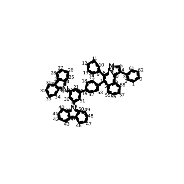 c1ccc(-c2cnn3c(-c4ccccc4)c(-c4ccc(-c5cc(-n6c7ccccc7c7ccccc76)cc(-n6c7ccccc7c7ccccc76)c5)cc4)c4ccccc4c23)cc1